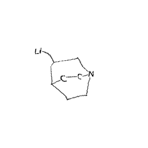 [Li][CH]1CN2CCC1CC2